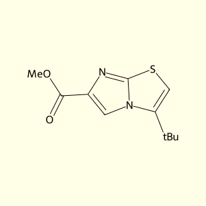 COC(=O)c1cn2c(C(C)(C)C)csc2n1